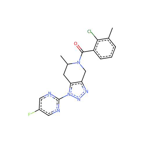 Cc1cccc(C(=O)N2Cc3nnn(-c4ncc(F)cn4)c3CC2C)c1Cl